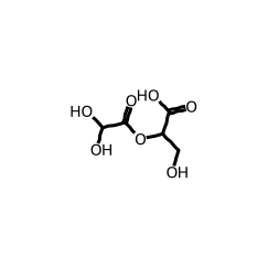 O=C(OC(CO)C(=O)O)C(O)O